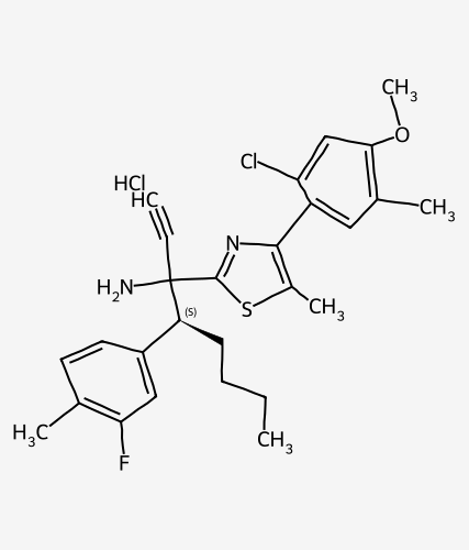 C#CC(N)(c1nc(-c2cc(C)c(OC)cc2Cl)c(C)s1)[C@@H](CCCC)c1ccc(C)c(F)c1.Cl